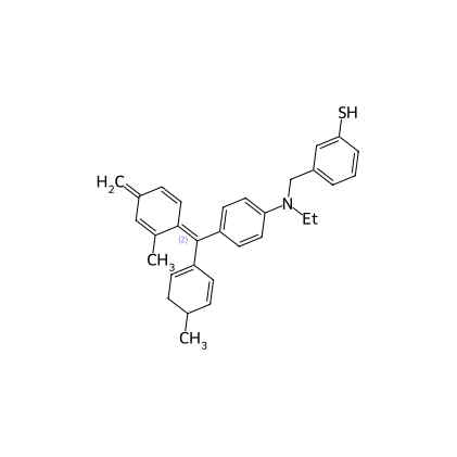 C=c1cc/c(=C(/C2=CCC(C)C=C2)c2ccc(N(CC)Cc3cccc(S)c3)cc2)c(C)c1